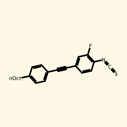 CCCCCCCCc1ccc(C#Cc2ccc(N=C=S)c(F)c2)cc1